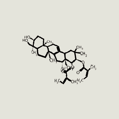 C/C=C(/C)C(=O)O[C@H]1[C@H](OC(=O)/C(C)=C\C)[C@@]2(CO)C(CC1(C)C)C1=CCC3[C@@](C)(CCC4[C@]3(C)CC[C@H](O)[C@]4(C)CO)C1C[C@H]2O